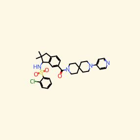 CC1(C)Cc2ccc(C(=O)N3CCC4(CC3)CCN(c3ccncc3)CC4)cc2C1NS(=O)(=O)c1ccccc1Cl